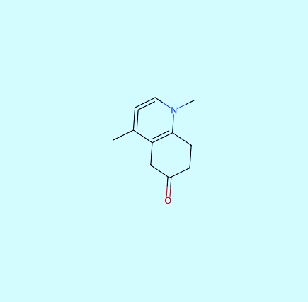 CC1=C=CN(C)C2=C1CC(=O)CC2